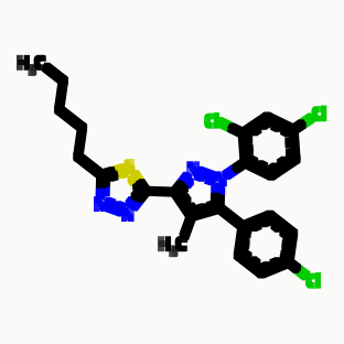 CCCCCc1nnc(-c2nn(-c3ccc(Cl)cc3Cl)c(-c3ccc(Cl)cc3)c2C)s1